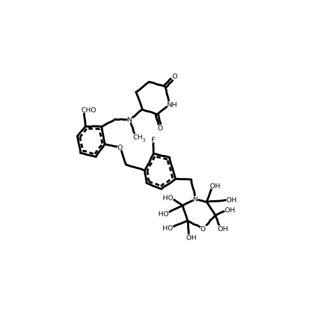 CN(Cc1c(C=O)cccc1OCc1ccc(CN2C(O)(O)C(O)(O)OC(O)(O)C2(O)O)cc1F)C1CCC(=O)NC1=O